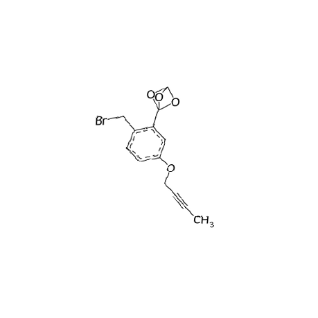 CC#CCOc1ccc(CBr)c(C23OC(O2)O3)c1